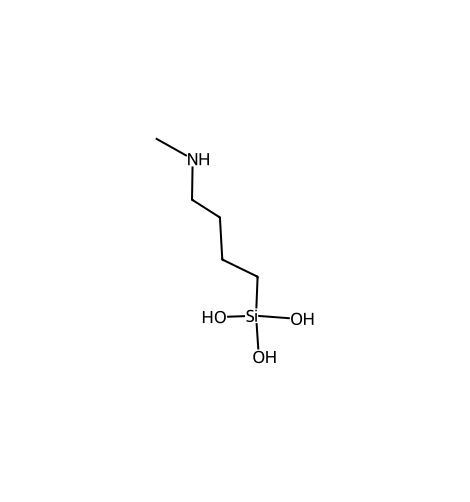 CNCCCC[Si](O)(O)O